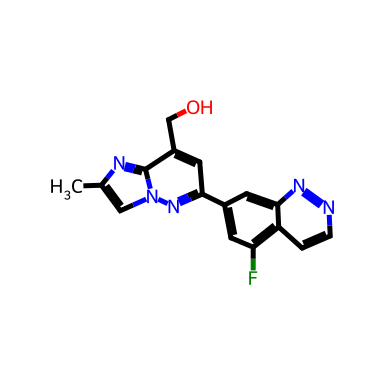 Cc1cn2nc(-c3cc(F)c4ccnnc4c3)cc(CO)c2n1